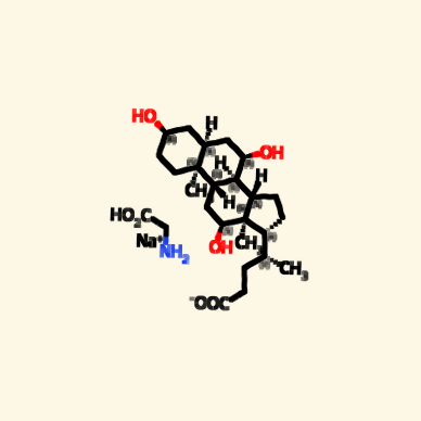 C[C@H](CCC(=O)[O-])[C@H]1CC[C@H]2[C@@H]3[C@H](O)C[C@@H]4C[C@H](O)CC[C@]4(C)[C@H]3C[C@H](O)[C@]12C.NCC(=O)O.[Na+]